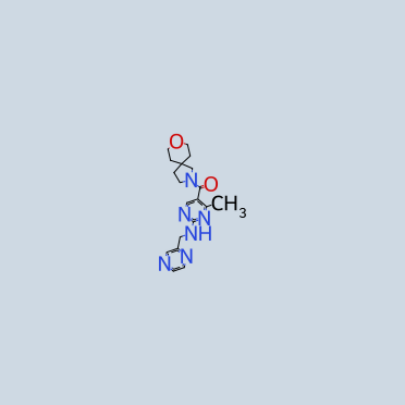 Cc1nc(NCc2cnccn2)ncc1C(=O)N1CCC2(CCOCC2)C1